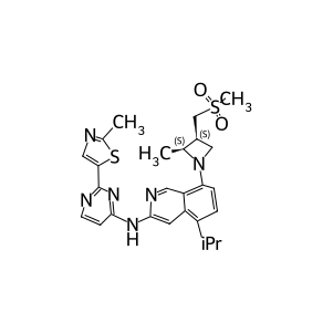 Cc1ncc(-c2nccc(Nc3cc4c(C(C)C)ccc(N5C[C@H](CS(C)(=O)=O)[C@@H]5C)c4cn3)n2)s1